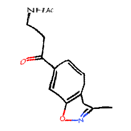 CC(=O)NCCC(=O)c1ccc2c(C)noc2c1